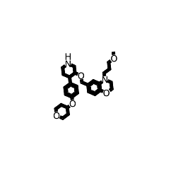 COCCCN1CCOc2ccc(COC3CNCCC3c3ccc(OC4CCOCC4)cc3)cc21